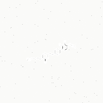 CCCCCC1CCC(CCC2CCC(c3ccc(OC)c(F)c3F)CC2)OC1=O